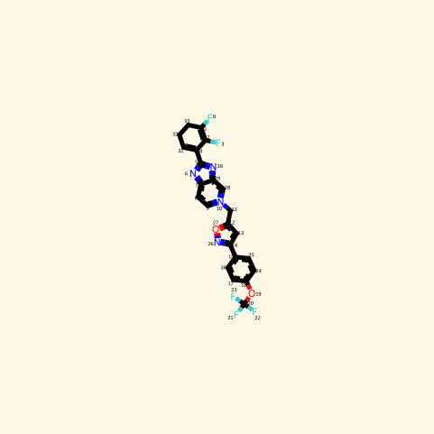 FC1=C(F)C(c2nc3ccn(Cc4cc(-c5ccc(OC(F)(F)F)cc5)no4)cc-3n2)=CCC1